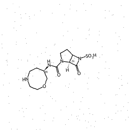 O=C(N[C@@H]1CCNCCOC1)N1CCC2[C@H]1C(=O)N2S(=O)(=O)O